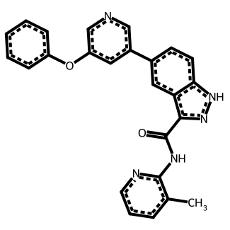 Cc1cccnc1NC(=O)c1n[nH]c2ccc(-c3cncc(Oc4ccccc4)c3)cc12